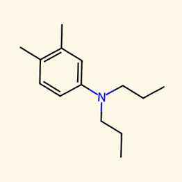 CCCN(CCC)c1ccc(C)c(C)c1